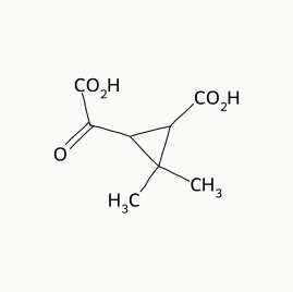 CC1(C)C(C(=O)O)C1C(=O)C(=O)O